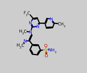 C=N/C(=C\N(C)c1nc(-c2ccc(C)nc2)cc(C(F)(F)F)n1)c1cccc(S(N)(=O)=O)c1